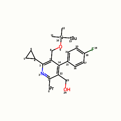 CC(C)c1nc(C2CC2)c(CO[Si](C)(C)C(C)(C)C)c(-c2ccc(F)cc2)c1CO